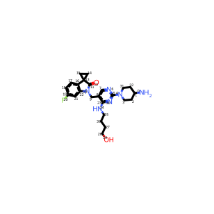 NC1CCN(c2ncc(CN3C(=O)C4(CC4)c4ccc(F)cc43)c(NCCCCO)n2)CC1